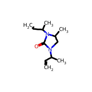 C=CC(C)N1CC(C)N(C(C)C=C)C1=O